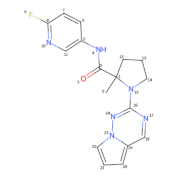 CC1(C(=O)Nc2ccc(F)nc2)CCCN1c1ncc2cccn2n1